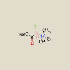 CC[N+](C)(C)[BH-](F)C(=O)OC